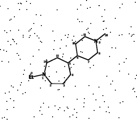 CCN1CCCC(C2CCN(C)CC2)CC1